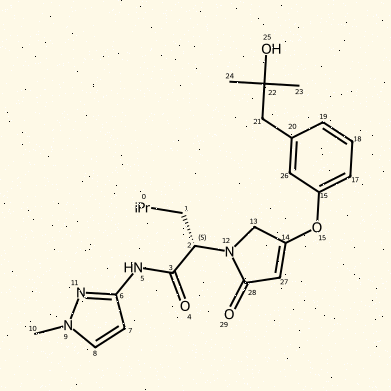 CC(C)C[C@@H](C(=O)Nc1ccn(C)n1)N1CC(Oc2cccc(CC(C)(C)O)c2)=CC1=O